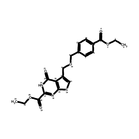 CCOC(=O)c1ccc(COCc2csc3nc(C(=O)OCC)[nH]c(=O)c23)cc1